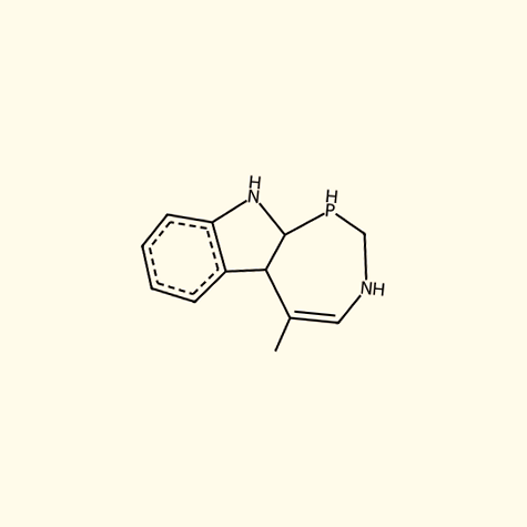 CC1=CNCPC2Nc3ccccc3C12